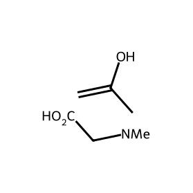 C=C(C)O.CNCC(=O)O